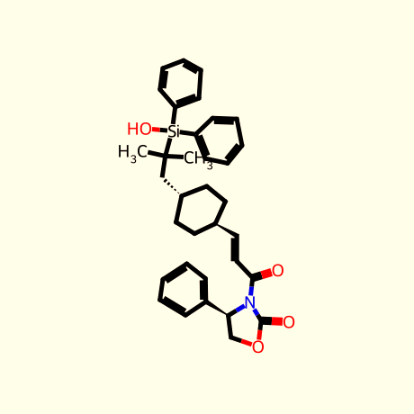 CC(C)(C[C@H]1CC[C@H](/C=C/C(=O)N2C(=O)OC[C@H]2c2ccccc2)CC1)[Si](O)(c1ccccc1)c1ccccc1